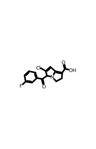 O=C(O)C1=C2C=C(Cl)C(C(=O)c3cccc(F)c3)N2CC1